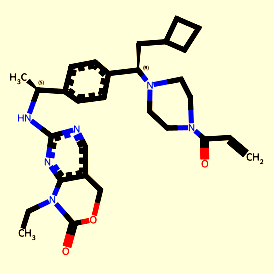 C=CC(=O)N1CCN([C@H](CC2CCC2)c2ccc([C@H](C)Nc3ncc4c(n3)N(CC)C(=O)OC4)cc2)CC1